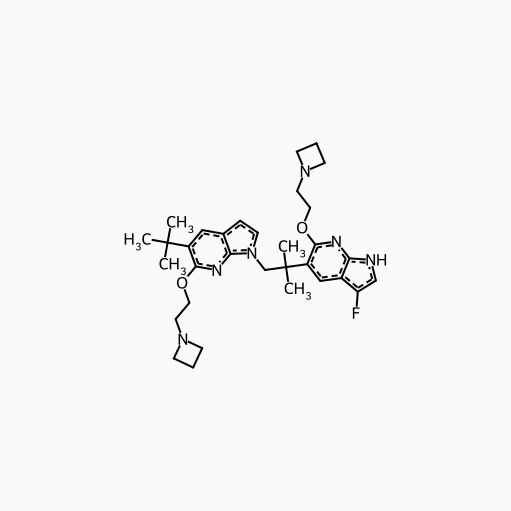 CC(C)(C)c1cc2ccn(CC(C)(C)c3cc4c(F)c[nH]c4nc3OCCN3CCC3)c2nc1OCCN1CCC1